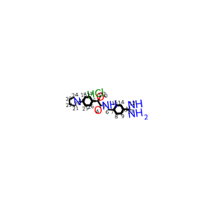 COC(C(=O)NCc1ccc(C(=N)N)cc1)c1ccc(N2CCCC2)cc1.Cl